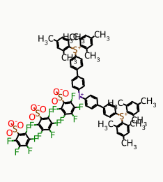 Cc1cc(C)c([S+](c2ccc(-c3ccc([I+]c4ccc(-c5ccc([S+](c6c(C)cc(C)cc6C)c6c(C)cc(C)cc6C)cc5)cc4)cc3)cc2)c2c(C)cc(C)cc2C)c(C)c1.O=S(=O)([O-])c1c(F)c(F)c(F)c(F)c1F.O=S(=O)([O-])c1c(F)c(F)c(F)c(F)c1F.O=S(=O)([O-])c1c(F)c(F)c(F)c(F)c1F